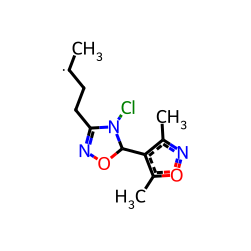 C[CH]CCC1=NOC(c2c(C)noc2C)N1Cl